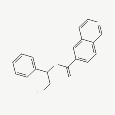 NCC(NC(=O)c1ccc2cnccc2c1)c1ccccc1